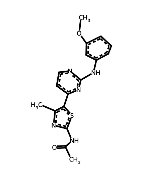 COc1cccc(Nc2nccc(-c3sc(NC(C)=O)nc3C)n2)c1